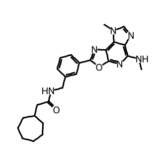 CNc1nc2oc(-c3cccc(CNC(=O)CC4CCCCCC4)c3)nc2c2c1ncn2C